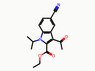 CCOC(=O)c1c(C(C)=O)c2cc(C#N)ccc2n1C(C)C